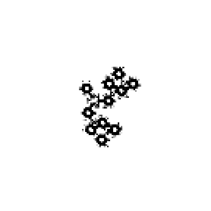 c1ccc(-c2nc(-c3cccc(-n4c5ccccc5c5c4ccc4c6ccccc6n(-c6ccccc6)c45)c3)nc(-c3cccc(-n4c5ccccc5c5c4ccc4c6ccccc6n(-c6ccccc6)c45)c3)n2)cc1